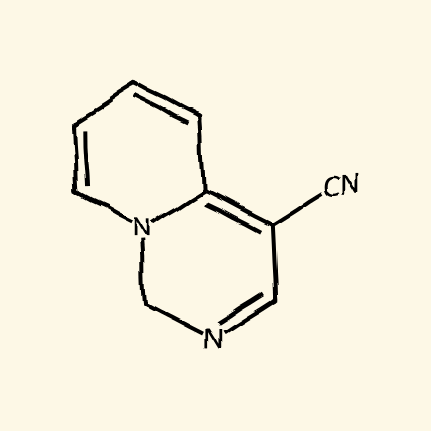 N#CC1=C2C=CC=CN2CN=C1